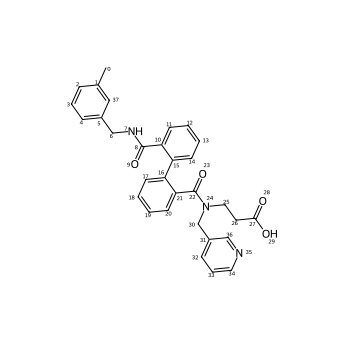 Cc1cccc(CNC(=O)c2ccccc2-c2ccccc2C(=O)N(CCC(=O)O)Cc2cccnc2)c1